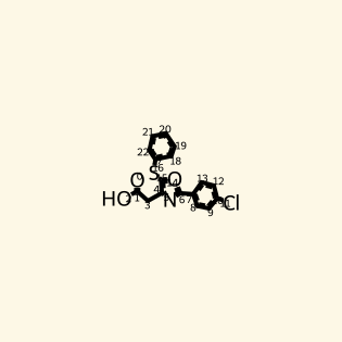 O=C(O)Cc1nc(-c2ccc(Cl)cc2)oc1Sc1ccccc1